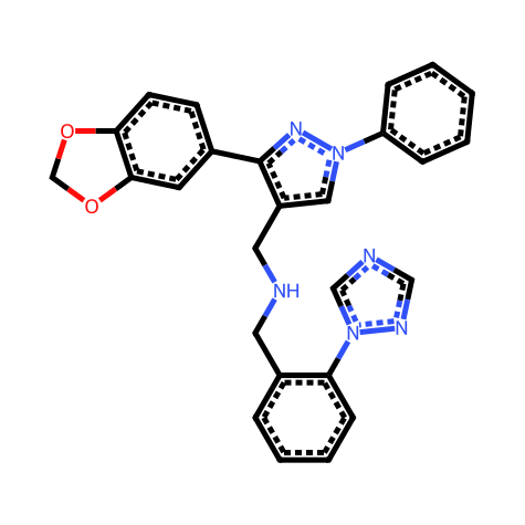 c1ccc(-n2cc(CNCc3ccccc3-n3cncn3)c(-c3ccc4c(c3)OCO4)n2)cc1